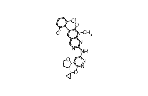 Cn1c(=O)c(-c2c(Cl)cccc2Cl)cc2cnc(Nc3ccc(OC4([C@@H]5CCOC5)CC4)nn3)nc21